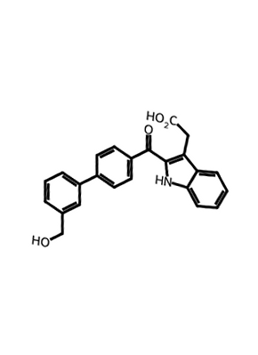 O=C(O)Cc1c(C(=O)c2ccc(-c3cccc(CO)c3)cc2)[nH]c2ccccc12